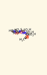 Cc1ccc(S(=O)(=O)Oc2cc(S(=O)(=O)O)cc3c(S(=O)(=O)O)c(N=Nc4cc(S(=O)(=O)O)c5cc(S(=O)(=O)O)c(N=Nc6ccc7c(O)c(N=Nc8ccccc8S(=O)(=O)O)c(S(=O)(=O)O)cc7c6)c(O)c5c4N)ccc23)cc1